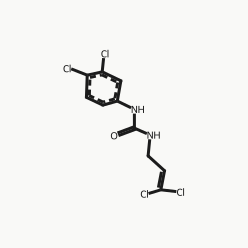 O=C(NCC=C(Cl)Cl)Nc1ccc(Cl)c(Cl)c1